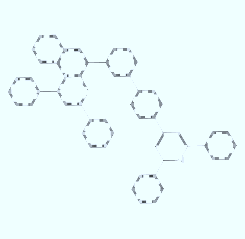 C1=C(c2ccc(-c3cccc(-c4cc5ccccc5c5c(-c6ccccc6)cc(-c6ccccc6)nc45)c3)cc2)C=C(c2ccccc2)NC1c1ccccc1